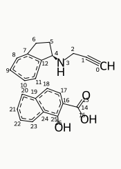 C#CCN[C@@H]1CCc2ccccc21.O=C(O)c1ccc2ccccc2c1O